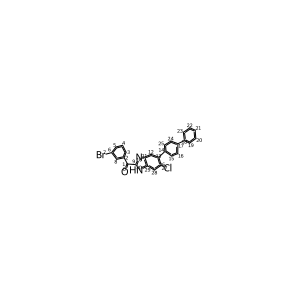 O=C(c1cccc(Br)c1)c1nc2cc(-c3ccc(-c4ccccc4)cc3)c(Cl)cc2[nH]1